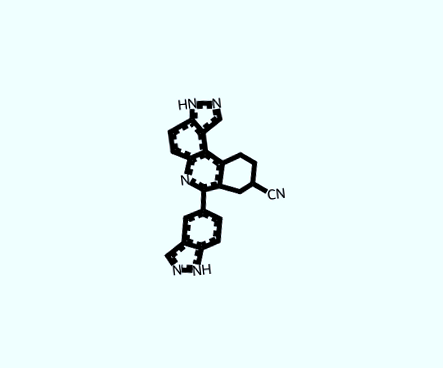 N#CC1CCc2c(c(-c3ccc4[nH]ncc4c3)nc3ccc4[nH]ncc4c23)C1